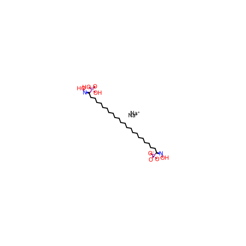 O=P([O-])([O-])C(CCCCCCCCCCCCCCCCCCCCCCC(=NO)P(=O)(O)O)=NO.[Na+].[Na+]